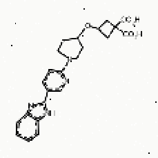 O=C(O)C1(C(=O)O)CC(OC2CCN(c3ccc(-c4nc5ccccc5[nH]4)cn3)CC2)C1